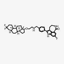 C[C@]12CCC(F)(F)C[C@@H]1CC[C@@H]1[C@@H]2CC[C@]2(C)[C@@H](OCCNCc3ccc(-c4[nH]c5cc(F)cc6c5c4CCNC6=O)cc3)CC[C@@H]12